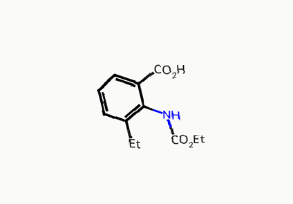 CCOC(=O)Nc1c(CC)cccc1C(=O)O